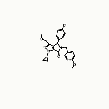 COCc1nn(C2CC2)c2c1C(c1ccc(Cl)cc1)N(Cc1ccc(OC)cc1)C2=O